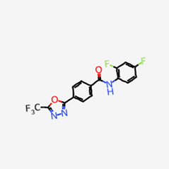 O=C(Nc1ccc(F)cc1F)c1ccc(-c2nnc(C(F)(F)F)o2)cc1